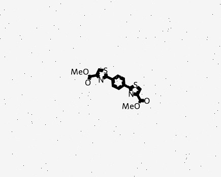 COC(=O)c1csc(-c2ccc(-c3nc(C(=O)OC)cs3)cc2)n1